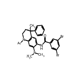 CC(=O)N1CCC(C)(c2ccccc2)c2cc(NC(=O)c3cc(Br)cc(Br)c3)c(N(C)C)cc21